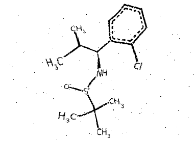 CC(C)[C@H](N[S+]([O-])C(C)(C)C)c1ccccc1Cl